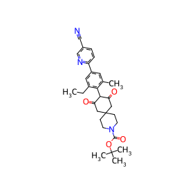 CCc1cc(-c2ccc(C#N)cn2)cc(C)c1C1C(=O)CC2(CCN(C(=O)OC(C)(C)C)CC2)CC1=O